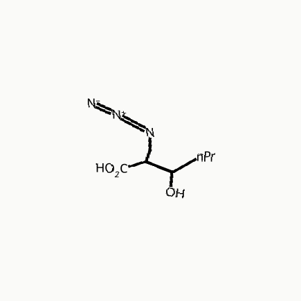 CCCC(O)C(N=[N+]=[N-])C(=O)O